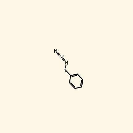 [N-]=[N+]=N[I]c1ccccc1